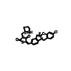 O=C1SC(=Cc2ccc3c(cnn3Cc3ccc(Cl)cc3C(F)(F)F)c2)C(=O)N1C[C@H]1CCCN1